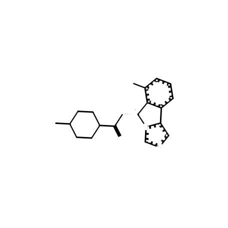 CC1CCC(C(=O)C[C@@H]2c3c(F)cccc3-c3cncn32)CC1